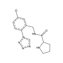 O=C(NCc1cc(Cl)ccc1-n1cnnn1)C1CCCN1